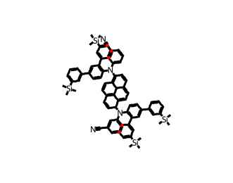 C[Si](C)(C)c1cccc(-c2ccc(N(C3=C4C=CC5=C6C(=CC=C(C=C3)C46)C(N(c3cccc(C#N)c3)c3ccc(-c4cccc([Si](C)(C)C)c4)cc3-c3cccc([Si](C)(C)C)c3)C=C5)c3cccc(C#N)c3)c(-c3cccc([Si](C)(C)C)c3)c2)c1